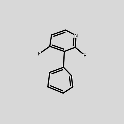 Fc1ccnc(F)c1-c1ccccc1